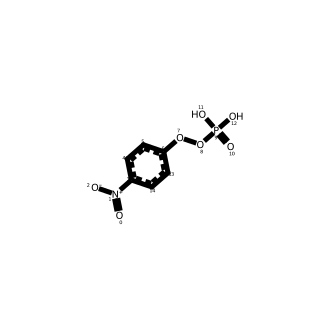 O=[N+]([O-])c1ccc(OOP(=O)(O)O)cc1